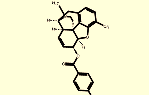 CN1CC[C@]23c4c5ccc(O)c4O[C@H]2[C@@H](OC(=O)c2ccc(O)cc2)C=C[C@H]3[C@H]1C5